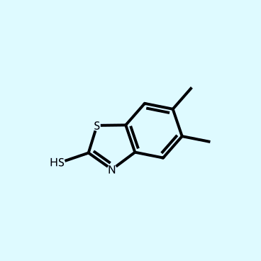 Cc1cc2nc(S)sc2cc1C